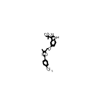 Cc1nc(-c2ccc(C(F)(F)F)cc2)oc1COc1ccc2[nH]cc(C(C)(C)C(=O)O)c2c1